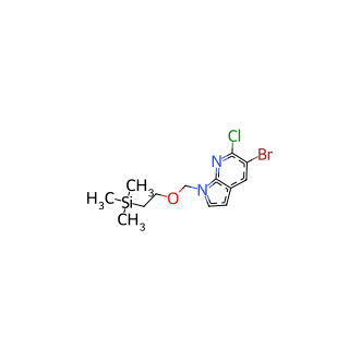 C[Si](C)(C)CCOCn1ccc2cc(Br)c(Cl)nc21